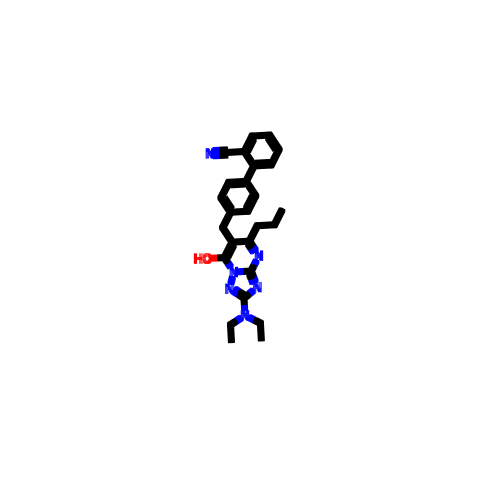 CCCc1nc2nc(N(CC)CC)nn2c(O)c1Cc1ccc(-c2ccccc2C#N)cc1